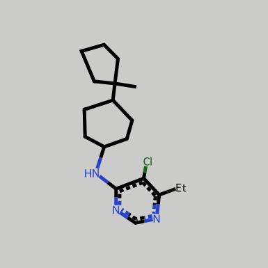 CCc1ncnc(NC2CCC(C3(C)CCCC3)CC2)c1Cl